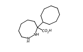 O=C(O)C1(C2CCCCCCC2)CCCCCNN1